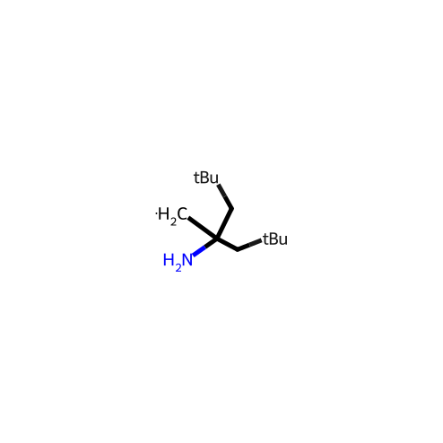 [CH2]C(N)(CC(C)(C)C)CC(C)(C)C